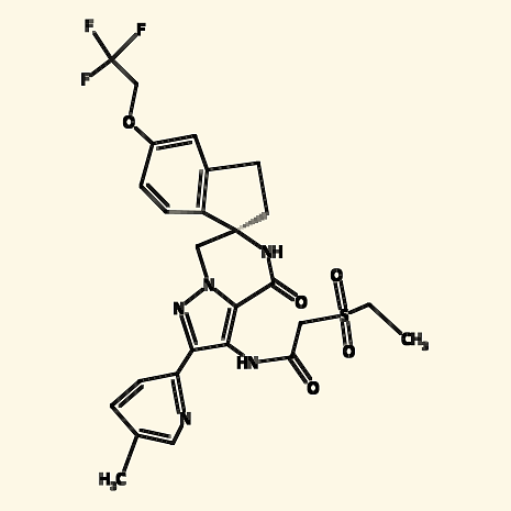 CCS(=O)(=O)CC(=O)Nc1c(-c2ccc(C)cn2)nn2c1C(=O)N[C@@]1(CCc3cc(OCC(F)(F)F)ccc31)C2